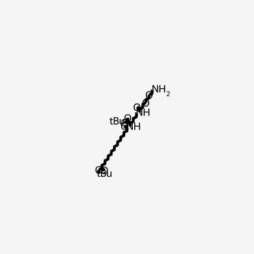 CC(C)(C)OC(=O)CCCCCCCCCCCCCCCCC(=O)NC(CCCCNC(=O)CCOCCOCCN)C(=O)OC(C)(C)C